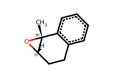 C[C@]12O[C@H]1CCc1ccccc12